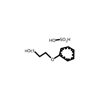 CCCCCCCCCCOc1ccccc1.O=S(=O)(O)O